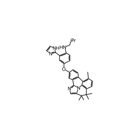 Cc1ccc2c3c1c1ccc(Oc4ccc(NCC(C)C)c(-c5ncc[nH]5)c4)cc1c1ncc(n13)C(C)(C)C2(C)C